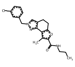 CCCNC(=O)c1oc2c(c1C)-c1nn(Cc3cccc(Cl)c3)cc1CC2